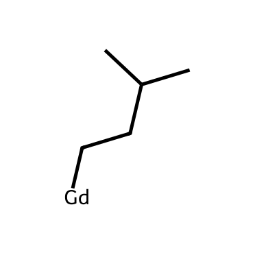 CC(C)C[CH2][Gd]